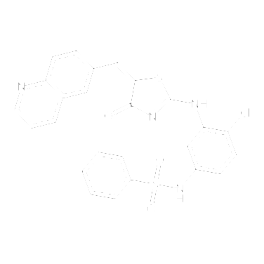 O=C1N=C(Nc2cc(NS(=O)(=O)c3ccccc3)ccc2Cl)SC1=Cc1ccc2ncccc2c1